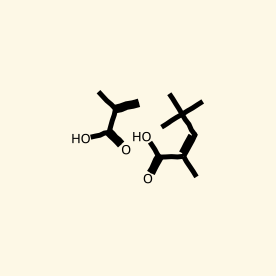 C=C(C)C(=O)O.CC(=CC(C)(C)C)C(=O)O